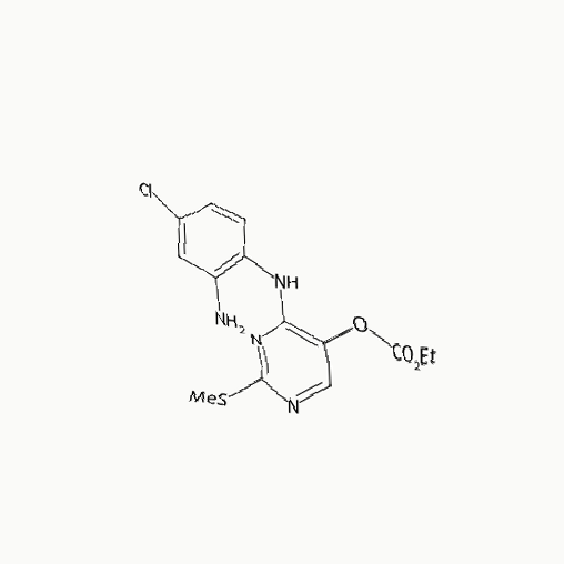 CCOC(=O)Oc1cnc(SC)nc1Nc1ccc(Cl)cc1N